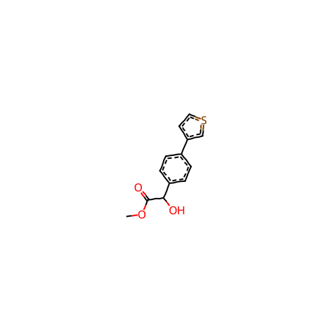 COC(=O)C(O)c1ccc(-c2ccsc2)cc1